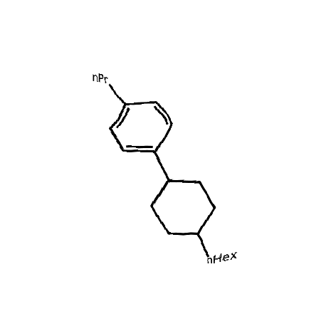 CCCCCCC1CCC(c2ccc(CCC)cc2)CC1